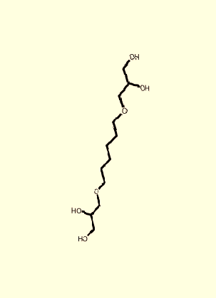 OCC(O)COCCCCCCOCC(O)CO